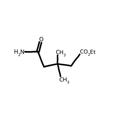 CCOC(=O)CC(C)(C)CC(N)=O